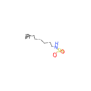 CC(C)CCCCCCN[SH](=O)=O